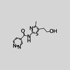 Cc1nc(NC(=O)c2ccnnc2)sc1CCO